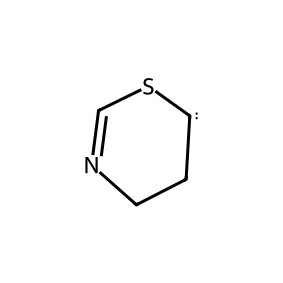 [C]1CCN=CS1